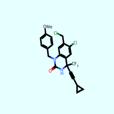 COc1ccc(CN2C(=O)NC(C#CC3CC3)(C(F)(F)F)c3cc(Cl)c(CCl)cc32)cc1